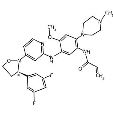 C=CC(=O)Nc1cc(Nc2cc(N3OCC[C@@H]3c3cc(F)cc(F)c3)ccn2)c(OC)cc1N1CCN(C)CC1